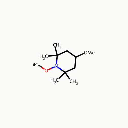 COC1CC(C)(C)N(OC(C)C)C(C)(C)C1